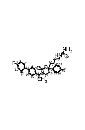 C[C@@H](c1ccc(-c2ccc(F)cc2F)cc1)N1CCC(CCCCNC(N)=O)(c2ccc(F)cc2)OC1=O